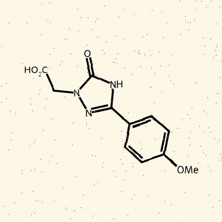 COc1ccc(-c2nn(CC(=O)O)c(=O)[nH]2)cc1